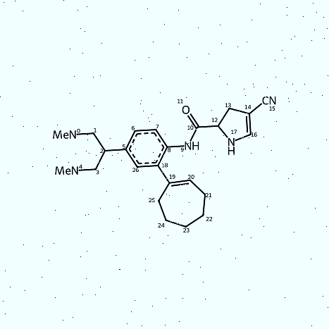 CNCC(CNC)c1ccc(NC(=O)C2CC(C#N)=CN2)c(C2=CCCCCC2)c1